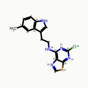 Cc1ccc2[nH]cc(CCNc3nc(Cl)nc4scnc34)c2c1